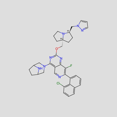 Fc1c(-c2cccc3cccc(Cl)c23)ncc2c(N3CC4CCC(C3)N4)nc(OC[C@]34CCCN3[C@@H](Cn3cccn3)CC4)nc12